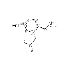 CC(C)Cc1ccccc1CN.Cl